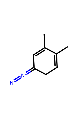 CC1=CCC(=[N+]=[N-])C=C1C